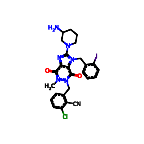 Cn1c(=O)c2nc(N3CCCC(N)C3)n(Cc3ccccc3I)c2c(=O)n1Cc1cccc(Cl)c1C#N